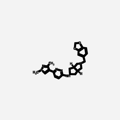 Cc1nn(C)cc1-c1ccc(N[C@@H]2C[C@@H]3CN(Cc4ccc5c(c4)OCO5)C[C@@H]3C2)nn1